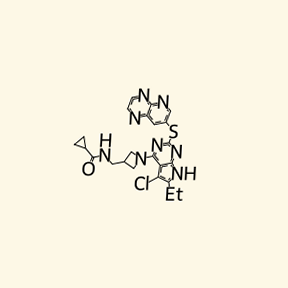 CCc1[nH]c2nc(Sc3cnc4nccnc4c3)nc(N3CC(CNC(=O)C4CC4)C3)c2c1Cl